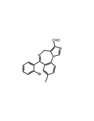 O=Cc1ncn2c1CN=C(c1ccccc1Br)c1cc(F)ccc1-2